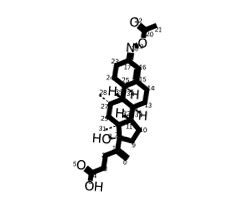 C=C(CCC(=O)O)[C@]1(O)CC[C@H]2[C@@H]3CCC4=C/C(=N\OC(C)=O)CC[C@@H]4[C@H]3[C@@H](C)C[C@@]21C